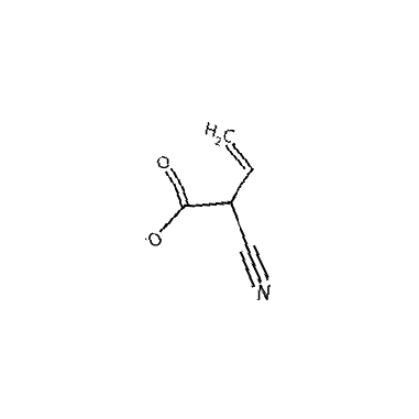 C=CC(C#N)C([O])=O